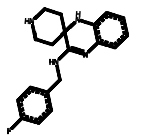 Fc1ccc(CNC2=Nc3ccccc3NC23CCNCC3)cc1